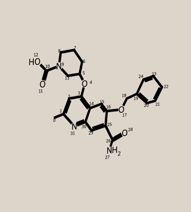 Cc1cc(OC2CCCN(C(=O)O)C2)c2cc(OCc3ccccc3)c(C(N)=O)cc2n1